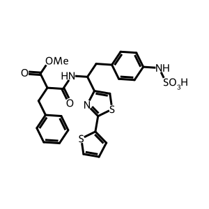 COC(=O)C(Cc1ccccc1)C(=O)NC(Cc1ccc(NS(=O)(=O)O)cc1)c1csc(-c2cccs2)n1